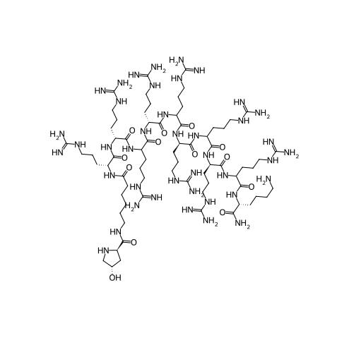 N=C(N)NCCCC(NC(=O)[C@@H](CCCNC(=N)N)NC(=O)C(CCCNC(=N)N)NC(=O)[C@@H](CCCNC(=N)N)NC(=O)C(CCCNC(=N)N)NC(=O)[C@@H](CCCNC(=N)N)NC(=O)C(CCCNC(=N)N)NC(=O)[C@@H](CCCNC(=N)N)NC(=O)[C@@H](CCCNC(=N)N)NC(=O)CCCCCNC(=O)[C@H]1C[C@H](O)CN1)C(=O)N[C@H](CCCCN)C(N)=O